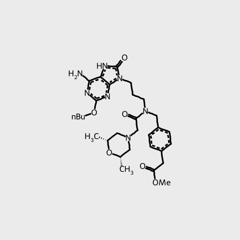 CCCCOc1nc(N)c2[nH]c(=O)n(CCCN(Cc3ccc(CC(=O)OC)cc3)C(=O)CN3C[C@@H](C)O[C@@H](C)C3)c2n1